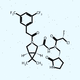 CC1(C)[C@@H]2[C@@H](C(=O)NN(C[C@@H]3CCNC3=O)C(=O)[C@H](F)Cl)N(C(=O)Cc3cc(C(F)(F)F)cc(C(F)(F)F)c3)C[C@@H]21